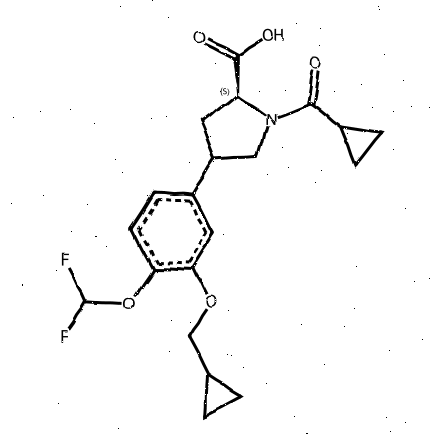 O=C(O)[C@@H]1CC(c2ccc(OC(F)F)c(OCC3CC3)c2)CN1C(=O)C1CC1